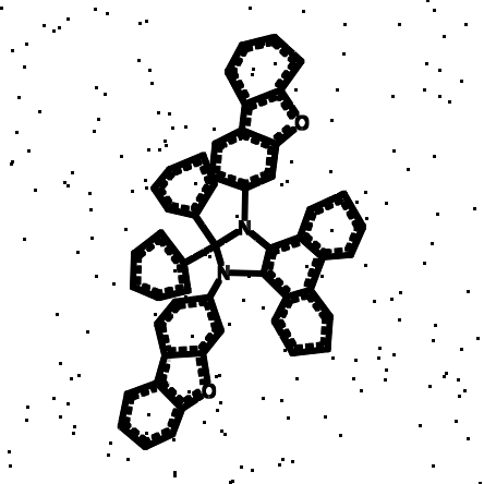 c1ccc(C2(c3ccccc3)N(c3ccc4c(c3)oc3ccccc34)c3c(c4ccccc4c4ccccc34)N2c2ccc3c(c2)oc2ccccc23)cc1